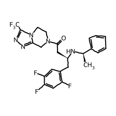 C[C@@H](N[C@H](CC(=O)N1CCn2c(nnc2C(F)(F)F)C1)Cc1cc(F)c(F)cc1F)c1ccccc1